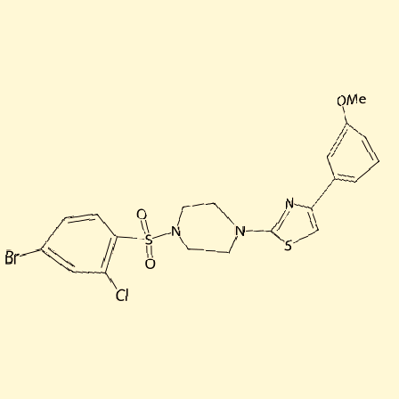 COc1cccc(-c2csc(N3CCN(S(=O)(=O)c4ccc(Br)cc4Cl)CC3)n2)c1